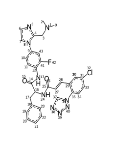 CN(C)Cc1nccn1-c1ccc(NC(=O)C(Cc2ccccc2)NC(=O)C=Cc2cc(Cl)ccc2-n2cnnn2)c(F)c1